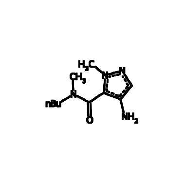 CCCCN(C)C(=O)c1c(N)cnn1C